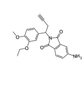 C#CCC(c1ccc(OC)c(OCC)c1)N1C(=O)c2ccc(N)cc2C1=O